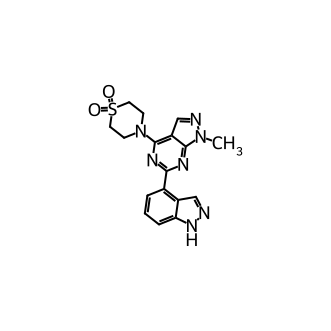 Cn1ncc2c(N3CCS(=O)(=O)CC3)nc(-c3cccc4[nH]ncc34)nc21